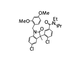 CCN(C(=O)c1ccc(Cl)c(C2(C)C(=O)N(Cc3ccc(OC)cc3OC)c3ccc(Cl)cc32)c1)C(C)C